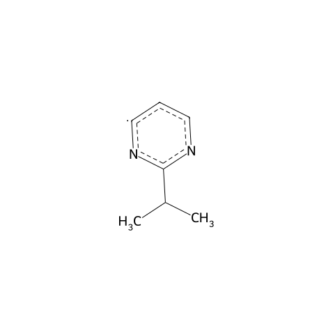 CC(C)c1n[c]ccn1